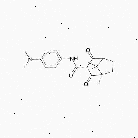 CN(C)c1ccc(NC(=O)C2C(=O)C3CC[C@@](C)(C2=O)C3(C)C)cc1